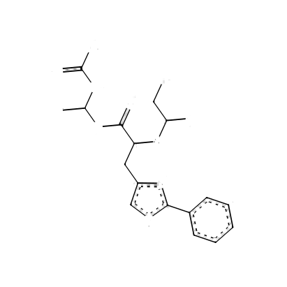 CC(C)CC(NC(Cc1csc(-c2ccccc2)n1)C(=O)OC(C)OC(=O)C(C)(C)C)C(=O)O